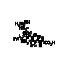 CC(C)C[C@H](N)C(=O)N[C@@H](CCCNC(=N)N)C(=O)N1CCC[C@H]1C(=O)N[C@H](C)C(=O)O